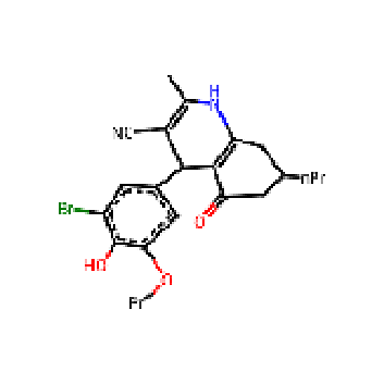 CCCC1CC(=O)C2=C(C1)NC(C)=C(C#N)C2c1cc(Br)c(O)c(OC(C)C)c1